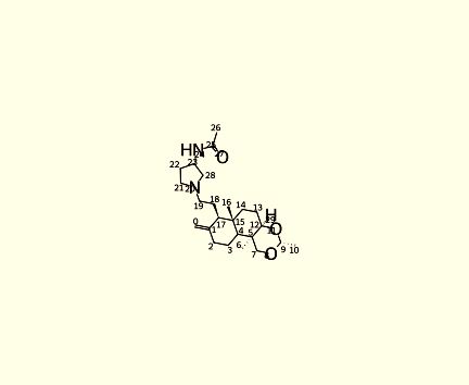 C=C1CCC2[C@]3(C)CO[C@@H](C)O[C@@H]3CC[C@@]2(C)[C@@H]1CCN1CC[C@H](NC(C)=O)C1